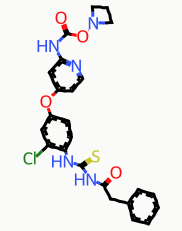 O=C(Cc1ccccc1)NC(=S)Nc1ccc(Oc2ccnc(NC(=O)ON3CCC3)c2)cc1Cl